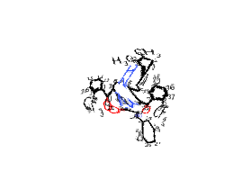 Cc1ccc(CC2NCC(C(=O)c3ccccc3C(F)(F)F)N(C(=O)/C=C/C3CCCCC3)C2C(=O)c2ccccc2C(F)(F)F)cc1C